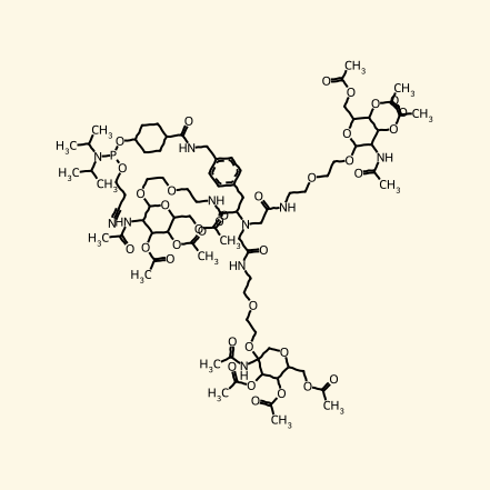 CC(=O)NC1C(OCCOCCNC(=O)CN(CC(=O)NCCOCCOC2(NC(C)=O)COC(COC(C)=O)C(OC(C)=O)C2OC(C)=O)C(Cc2ccc(CNC(=O)C3CCC(OP(OCCC#N)N(C(C)C)C(C)C)CC3)cc2)C(=O)NCCOCCOC2OC(COC(C)=O)C(OC(C)=O)C(OC(C)=O)C2NC(C)=O)OC(COC(C)=O)C(OC(C)=O)C1OC(C)=O